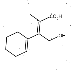 CC(C(=O)O)=C(CO)C1=CCCCC1